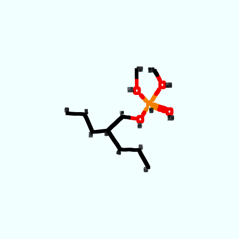 CCCC(CCC)COP(=O)(OC)OC